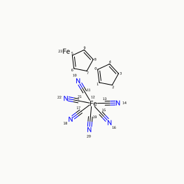 C1=CCC=C1.C1=CCC=C1.N#[C][Fe]([C]#N)([C]#N)([C]#N)([C]#N)[C]#N.[Fe]